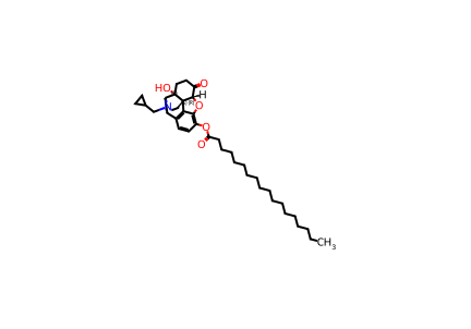 CCCCCCCCCCCCCCCCCC(=O)Oc1ccc2c3c1O[C@H]1C(=O)CC[C@@]4(O)C(C2)N(CC2CC2)CC[C@]314